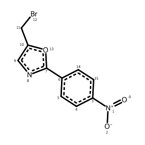 O=[N+]([O-])c1ccc(-c2ncc(CBr)o2)cc1